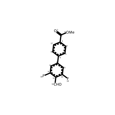 COC(=O)c1ccc(-c2cc(F)c(C=O)c(F)c2)cc1